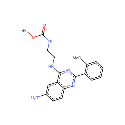 COc1ccccc1-c1nc(NCCNC(=O)OC(C)(C)C)c2cc(N)ccc2n1